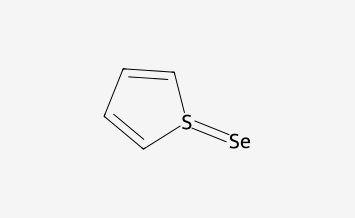 [Se]=S1C=CC=C1